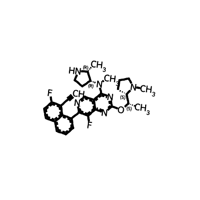 C#Cc1c(F)ccc2cccc(-c3ncc4c(N(C)[C@@H]5CCN[C@@H]5C)nc(O[C@@H](C)[C@@H]5CCCN5C)nc4c3F)c12